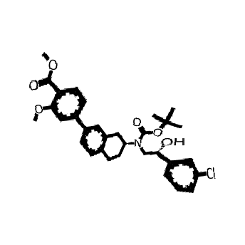 COC(=O)c1ccc(-c2ccc3c(c2)C[C@@H](N(C[C@H](O)c2cccc(Cl)c2)C(=O)OC(C)(C)C)CC3)cc1OC